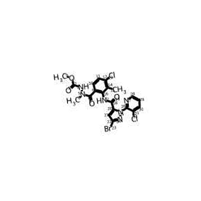 COC(=O)NN(C)C(=O)c1ccc(Cl)c(C)c1NC(=O)c1cc(Br)nn1-c1ncccc1Cl